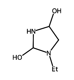 CCN1CC(O)NC1O